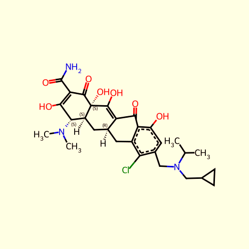 CC(C)N(Cc1cc(O)c2c(c1Cl)C[C@H]1C[C@H]3[C@H](N(C)C)C(O)=C(C(N)=O)C(=O)[C@@]3(O)C(O)=C1C2=O)CC1CC1